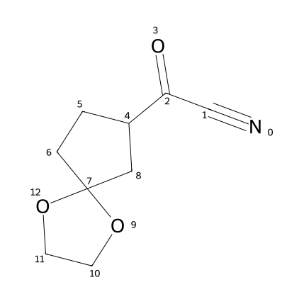 N#CC(=O)C1CCC2(C1)OCCO2